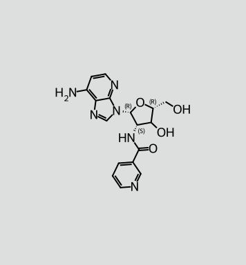 Nc1ccnc2c1ncn2[C@@H]1O[C@H](CO)C(O)[C@@H]1NC(=O)c1cccnc1